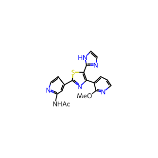 COc1ncccc1-c1nc(-c2ccnc(NC(C)=O)c2)sc1-c1ncc[nH]1